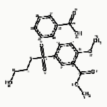 COC(=O)c1cc(S(=O)(=O)CCCO)ccc1OC.O=C(O)c1ccccc1